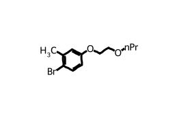 CCCOCCOc1ccc(Br)c(C)c1